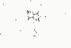 Cn1c(=O)c2[nH]c(=O)[nH]c(=O)c2n(CCCCC(F)F)c1=O